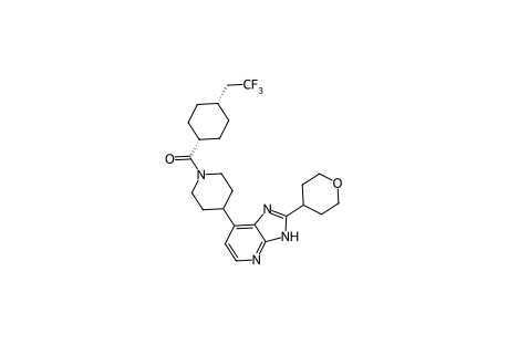 O=C([C@H]1CC[C@@H](CC(F)(F)F)CC1)N1CCC(c2ccnc3[nH]c(C4CCOCC4)nc23)CC1